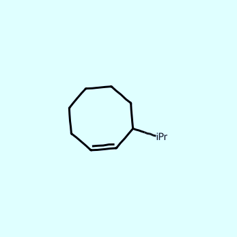 [CH2]C(C)C1C=CCCCCC1